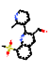 Cc1ncccc1-c1nc2c(S(C)(=O)=O)cccc2cc1C=O